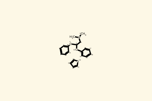 CN(C)CC(Oc1ccccc1)Oc1ccccc1.c1ccsc1